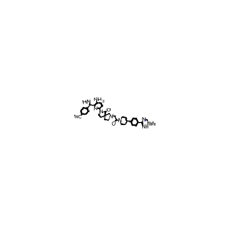 CN/C=N\C(=N)c1ccc(C2=CCN(C(=O)CN3CC[C@]4(CCN(c5ccc(N)c(C(=N)c6ccc(C#N)cc6)n5)C4=O)C3)CC2)cc1